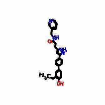 CCc1cc(-c2ccc(-c3cc(CCC(=O)NCc4cccnc4)[nH]n3)cc2)ccc1O